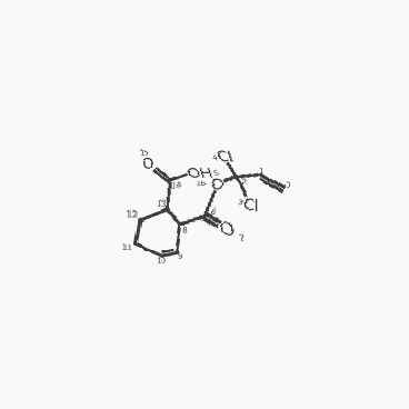 C=CC(Cl)(Cl)OC(=O)C1C=CCCC1C(=O)O